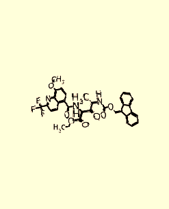 CCOC(=O)C(NC(=O)c1ccc(OC)c2nc(C(F)(F)F)ccc12)C(=O)[C@H](C)NC(=O)OCC1c2ccccc2-c2ccccc21